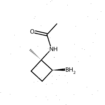 B[C@H]1CC[C@@]1(C)NC(C)=O